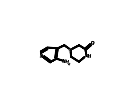 Nc1cnccc1CN1CCNC(=O)C1